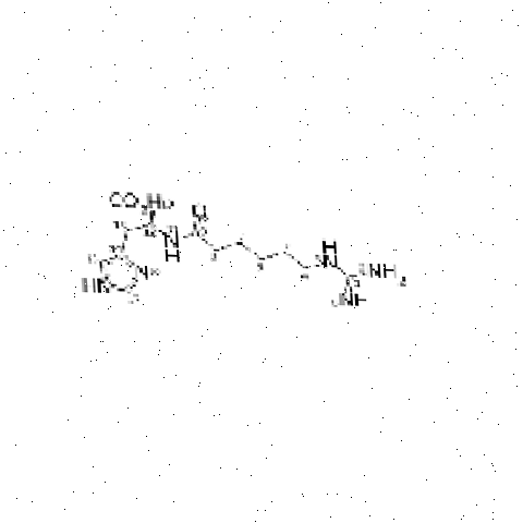 N=C(N)NCCCCCC(=O)N[C@@H](Cc1c[nH]cn1)C(=O)O